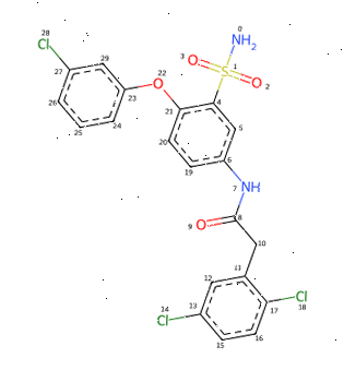 NS(=O)(=O)c1cc(NC(=O)Cc2cc(Cl)ccc2Cl)ccc1Oc1cccc(Cl)c1